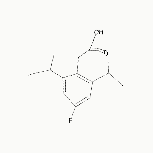 CC(C)c1cc(F)cc(C(C)C)c1CC(=O)O